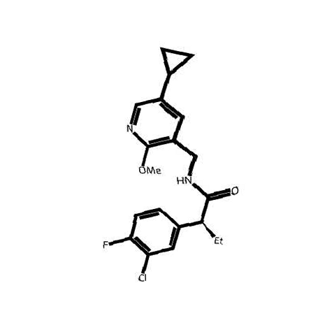 CC[C@H](C(=O)NCc1cc(C2CC2)cnc1OC)c1ccc(F)c(Cl)c1